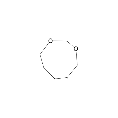 [CH]1CCCOCOC1